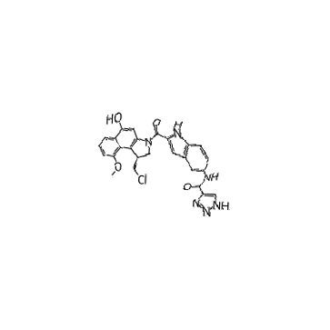 COc1cccc2c(O)cc3c(c12)[C@H](CCl)CN3C(=O)c1cc2cc(NC(=O)c3c[nH]nn3)ccc2[nH]1